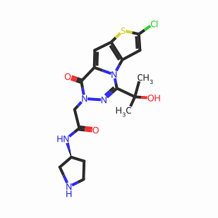 CC(C)(O)c1nn(CC(=O)N[C@H]2CCNC2)c(=O)c2cc3sc(Cl)cc3n12